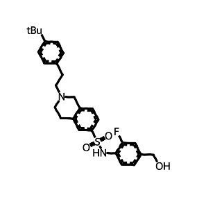 CC(C)(C)c1ccc(CCN2CCc3cc(S(=O)(=O)Nc4ccc(CO)cc4F)ccc3C2)cc1